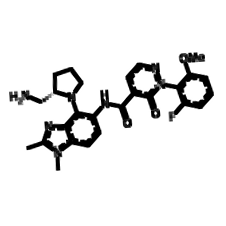 COc1cccc(F)c1-n1nccc(C(=O)Nc2ccc3c(nc(C)n3C)c2N2CCC[C@H]2CN)c1=O